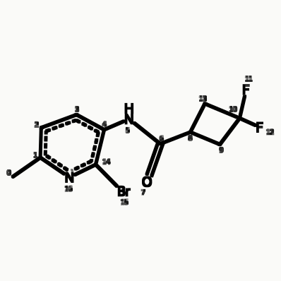 Cc1ccc(NC(=O)C2CC(F)(F)C2)c(Br)n1